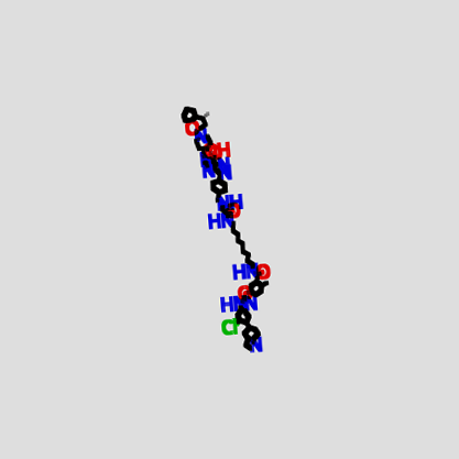 Cc1ccc(Oc2nc3cc(-c4ccc5c(ccn5C)c4)c(Cl)cc3[nH]2)cc1C(=O)NCCCCCCCCCNC(=O)CNCc1ccc(-c2c3ncn(CC4(O)CCN(C(=O)C[C@@H](C)c5ccccc5)CC4)c(=O)c3nn2C)cc1